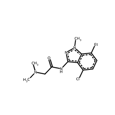 CCc1ccc(Cl)c2c(NC(=O)CN(C)C)nn(C)c12